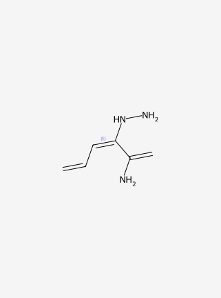 C=C/C=C(/NN)C(=C)N